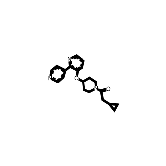 O=C(CC1CC1)N1CCC(Oc2cccnc2-c2ccncc2)CC1